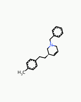 Cc1ccc(CC[C@@H]2C=CCN(Cc3ccccc3)C2)cc1